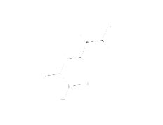 CC(O)C(O)COC(C)C(C)O